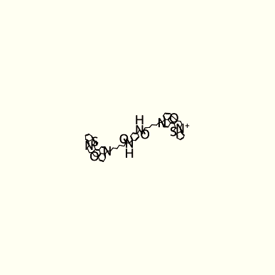 O=C(CCCCCN1C=CC2=C3c4sc5ccccc5[n+]4CCC3Oc3cccc1c32)Nc1ccc(NC(=O)CCCCCN2C=CC3=C4c5sc6ccccc6[n+]5CCC4Oc4cccc2c43)cc1